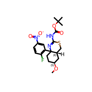 CO[C@H]1CCC2(c3cc([N+](=O)[O-])ccc3F)N=C(NC(=O)OC(C)(C)C)SC[C@@H]2C1